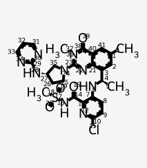 Cc1cc([C@@H](C)Nc2ccc(Cl)nc2C(=O)NS(C)(=O)=O)c2nc(N3CC[C@H](Nc4ncccn4)C3)n(C)c(=O)c2c1